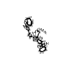 COCCc1c(NC(=O)c2ccc(-c3cnn(C4CCCCO4)c3)s2)[nH]c2cc(NC(=O)C3(C)CCCCC3)ccc12